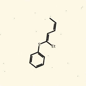 C/C=C\C=C(/CC)Sc1ccccc1